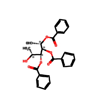 O=C[C@H](OC(=O)c1ccccc1)[C@@H](OC(=O)c1ccccc1)[C@H](OC(=O)c1ccccc1)[C@H](O)C(=O)O